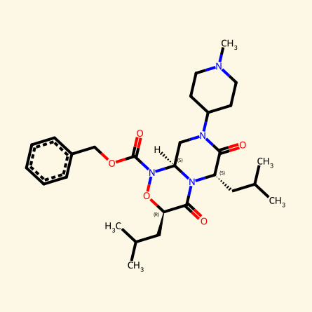 CC(C)C[C@H]1ON(C(=O)OCc2ccccc2)[C@H]2CN(C3CCN(C)CC3)C(=O)[C@H](CC(C)C)N2C1=O